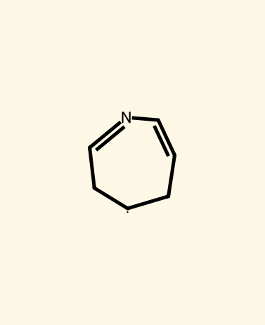 [CH]1CC=CN=CC1